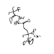 O=C(CCC(F)([N+](=O)[O-])[N+](=O)[O-])NNC(=O)C(F)(F)F